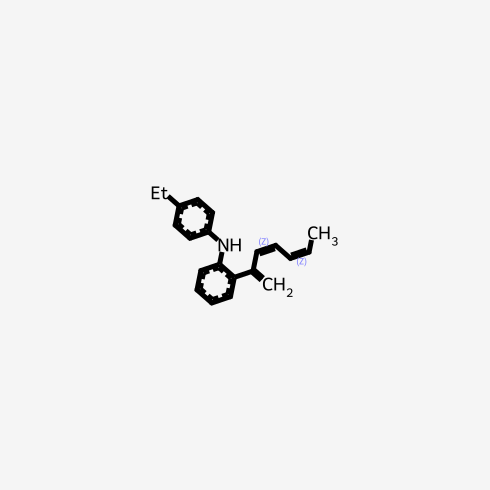 C=C(/C=C\C=C/C)c1ccccc1Nc1ccc(CC)cc1